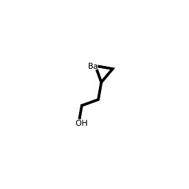 OCC[CH]1[CH2][Ba]1